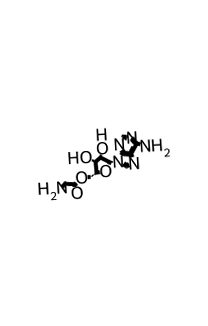 NCC(=O)OC[C@H]1O[C@@H](n2cnc3c(N)ncnc32)[C@H](O)[C@@H]1O